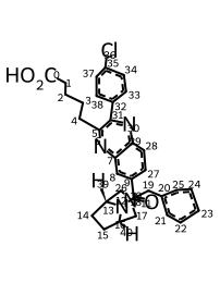 O=C(O)CCCCc1nc2cc(C(=O)N3[C@@H]4CC[C@H]3CN(Cc3ccccc3)C4)ccc2nc1-c1ccc(Cl)cc1